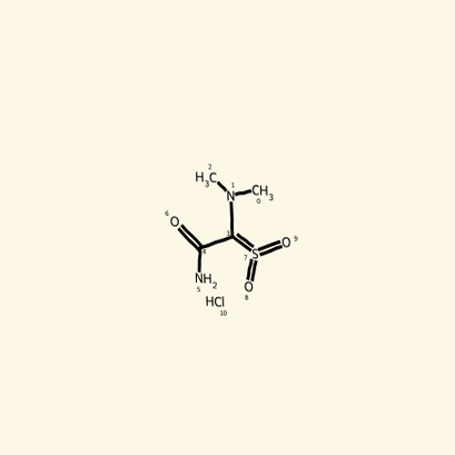 CN(C)C(C(N)=O)=S(=O)=O.Cl